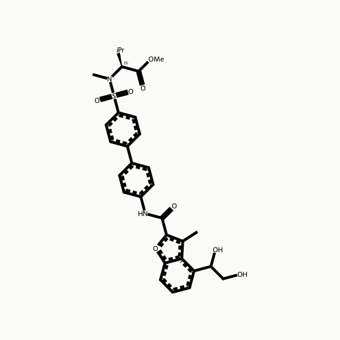 COC(=O)[C@H](C(C)C)N(C)S(=O)(=O)c1ccc(-c2ccc(NC(=O)c3oc4cccc(C(O)CO)c4c3C)cc2)cc1